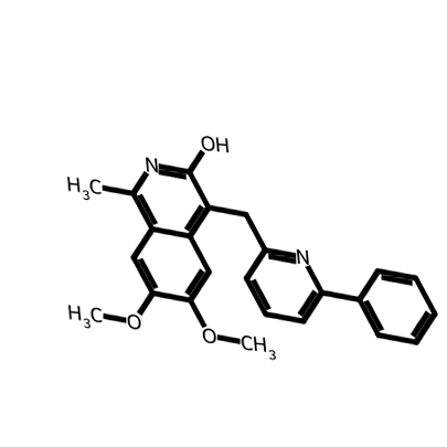 COc1cc2c(C)nc(O)c(Cc3cccc(-c4ccccc4)n3)c2cc1OC